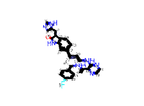 C=C(N[C@@H](C)c1ccc(F)cc1)c1nccnc1NC/C=C/c1ccc2c(c1)NC(=O)/C2=C\c1cnc[nH]1